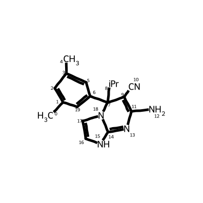 Cc1cc(C)cc(C2(C(C)C)C(C#N)=C(N)N=C3NC=CN32)c1